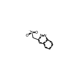 [CH2]S(=O)(=O)Cc1cc2ccccc2nn1